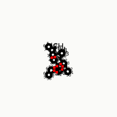 CC1(C)c2ccccc2-c2cccc(-c3ccccc3N(c3ccc4c(c3)C3(c5ccccc5-4)C4CC5CC(C4)CC3C5)c3ccccc3-c3cccc4sc5c6ccccc6ccc5c34)c21